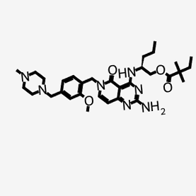 CCC[C@@H](COC(=O)C(C)(C)CC)Nc1nc(N)nc2ccn(Cc3ccc(CN4CCN(C)CC4)cc3OC)c(=O)c12